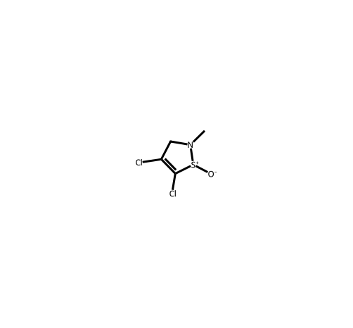 CN1CC(Cl)=C(Cl)[S+]1[O-]